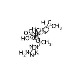 CC(C)c1ccc(CN(C)[P@](=O)(CO[C@H](C)Cn2cnc3c(N)ncnc32)NC(C)(C)C(=O)O)cc1